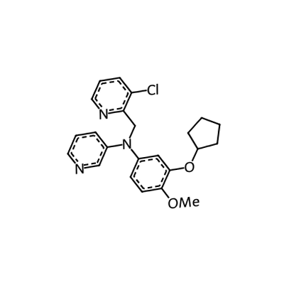 COc1ccc(N(Cc2ncccc2Cl)c2cccnc2)cc1OC1CCCC1